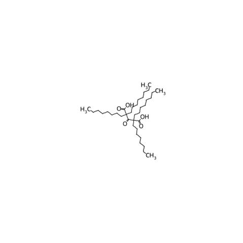 CCCCCCCCC(CCCCCCCC)(C(=O)O)C(=O)C(CCCCCCCC)(CCCCCCCC)C(=O)O